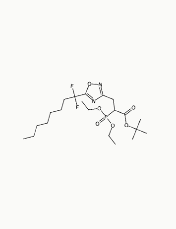 CCCCCCCC(F)(F)c1nc(CC(C(=O)OC(C)(C)C)P(=O)(OCC)OCC)no1